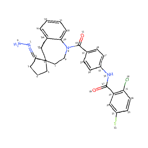 N/N=C1\CCCC12CCN(C(=O)c1ccc(NC(=O)c3cc(F)ccc3Cl)cc1)c1ccccc1C2